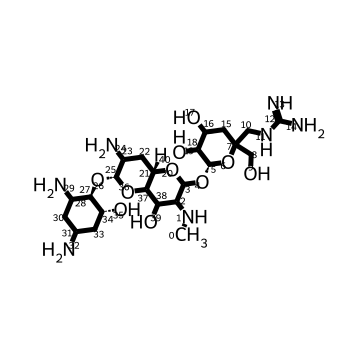 CNC1C(O[C@H]2OC(CO)(CNC(=N)N)CC(O)C2O)O[C@H]2CC(N)[C@@H](O[C@@H]3C(N)CC(N)C[C@H]3O)OC2C1O